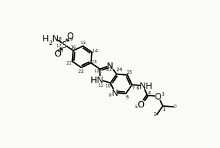 CC(C)OC(=O)Nc1cnc2[nH]c(-c3ccc(S(N)(=O)=O)cc3)nc2c1